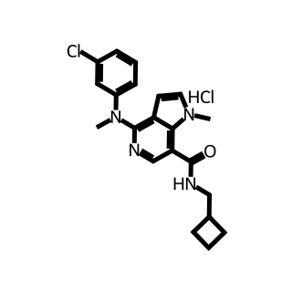 CN(c1cccc(Cl)c1)c1ncc(C(=O)NCC2CCC2)c2c1ccn2C.Cl